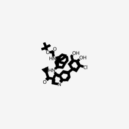 CC(C)(C)OC(=O)NC12CC3CC(C1)CC(Nc1c(C(=O)C4CC4)cnc4ccc(-c5cc(Cl)c(O)c(CO)c5)cc14)(C3)C2